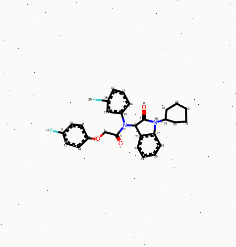 O=C1C(N(C(=O)COc2ccc(F)cc2)c2cccc(F)c2)c2ccccc2N1C1CCCCC1